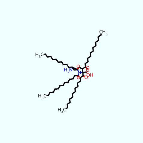 CCCCCCCCCCCCCC(=O)C(CCCN)C(C(=O)O)(C(=O)CCCCCCCCCCCCC)N(C(=O)CCCCCCCCCCCCC)C(=O)CCCCCCCCCCCCC